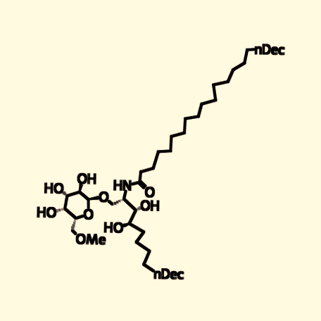 CCCCCCCCCCCCCCCCCCCCCCCCCC(=O)N[C@@H](CO[C@H]1O[C@H](COC)[C@H](O)[C@H](O)[C@H]1O)[C@H](O)[C@H](O)CCCCCCCCCCCCCC